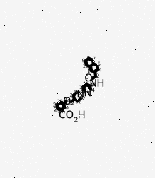 O=C(CC1=CCC2C=CC=CC2=C1)Nc1ccc(N2CCC(COc3cccc(C(=O)O)c3)CC2)nc1